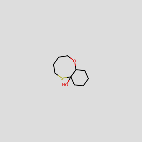 OC12CCCCC1OCCCCS2